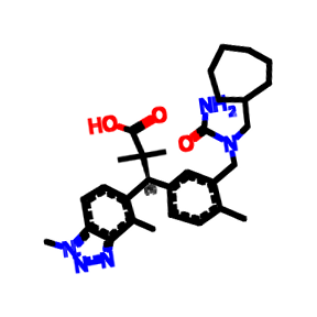 Cc1ccc([C@@H](c2ccc3c(nnn3C)c2C)C(C)(C)C(=O)O)cc1CN(CC1CCCCCC1)C(N)=O